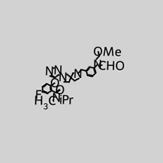 COCCN(C=O)c1cccc(CN2CCC3(CCN(c4ncncc4Oc4ccc(F)cc4C(=O)N(C)C(C)C)C3)C2)c1